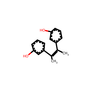 CC(=C(C)c1cccc(O)c1)c1cccc(O)c1